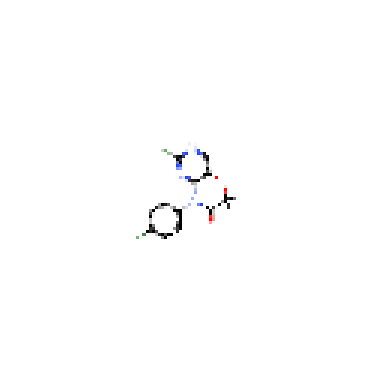 CC1(C)Oc2cnc(Cl)nc2N(c2ccc(Cl)cc2)C1=O